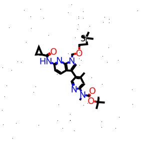 Cc1cc(N(C)C(=O)OC(C)(C)C)ncc1-c1cn(COCC[Si](C)(C)C)c2nc(NC(=O)C3CC3)ccc12